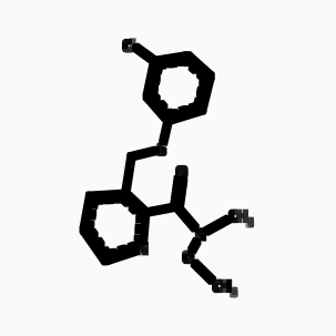 CON(C)C(=O)c1ncccc1CSc1cccc(Cl)c1